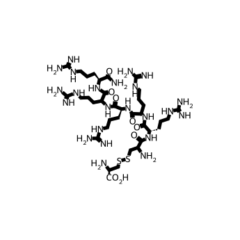 N=C(N)NCCCC(NC(=O)[C@H](CCCNC(=N)N)NC(=O)C(N)CSSC[C@H](N)C(=O)O)C(=O)N[C@@H](CCCNC(=N)N)C(=O)NC(CCCNC(=N)N)C(=O)N[C@@H](CCCNC(=N)N)C(N)=O